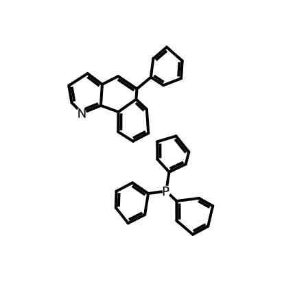 c1ccc(-c2cc3cccnc3c3ccccc23)cc1.c1ccc(P(c2ccccc2)c2ccccc2)cc1